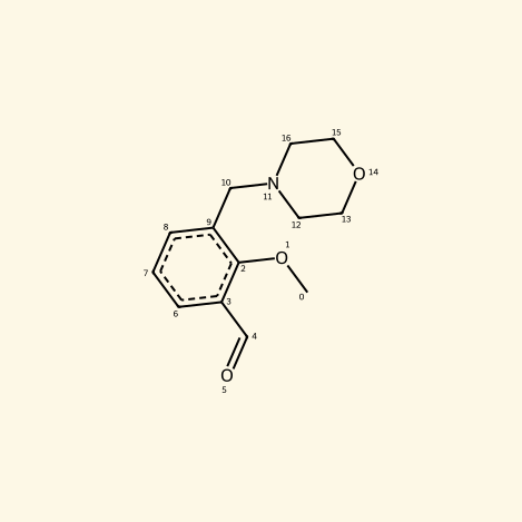 COc1c(C=O)cccc1CN1CCOCC1